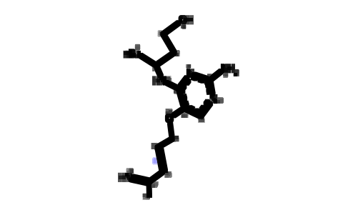 CCCCC(CCO)Nc1nc(N)ncc1OC/C=C/C(C)=N